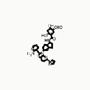 Nc1ncccc1-c1nc2ccc(-n3cccn3)nc2n1-c1ccc2c(c1)CC[C@@H]2NC(=O)c1cc(C=O)c(O)cc1O